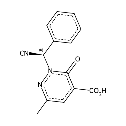 [C-]#[N+][C@@H](c1ccccc1)n1nc(C)cc(C(=O)O)c1=O